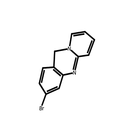 Brc1ccc2c(c1)N=C1C=CC=CN1C2